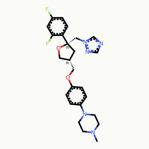 CN1CCN(c2ccc(OC[C@@H]3CO[C@@](Cn4cncn4)(c4ccc(F)cc4F)C3)cc2)CC1